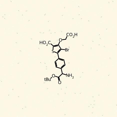 CC(C)(C)OC(=O)C(N)c1ccc(-c2sc(C(=O)O)c(OCC(=O)O)c2Br)cc1